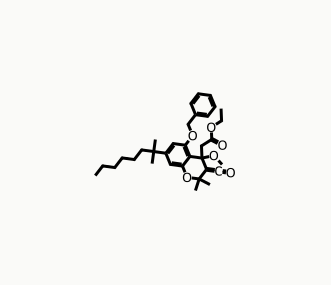 CCCCCCC(C)(C)c1cc(OCc2ccccc2)c2c(c1)OC(C)(C)C(=C=O)C2(CC(=O)OCC)OC